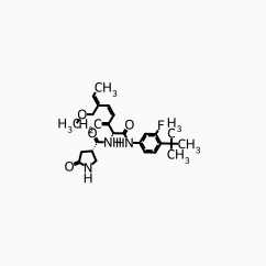 C=C(/C=C\C(=C/C)COC)[C@@H](NC(=O)[C@@H]1CNC(=O)C1)C(=O)Nc1ccc(C(C)(C)C)c(F)c1